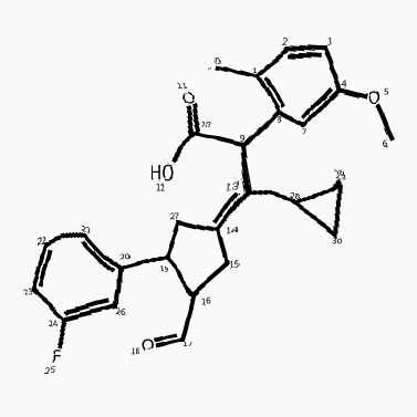 [CH2]c1ccc(OC)cc1C(C(=O)O)/C(=C1/CC(C=O)C(c2cccc(F)c2)C1)C1CC1